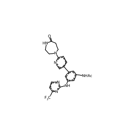 CC(=O)Nc1cc(Nc2nccc(C(F)(F)F)n2)cc(-c2ccc(N3CCNC(=O)CC3)nc2)c1